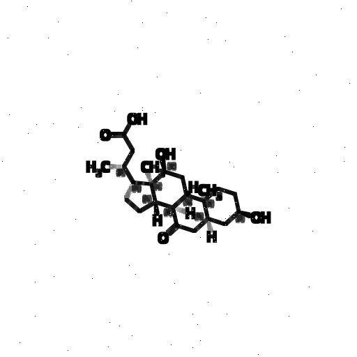 C[C@H](CC(=O)O)[C@H]1CC[C@H]2[C@@H]3C(=O)C[C@@H]4C[C@H](O)CC[C@]4(C)[C@H]3C[C@H](O)[C@]12C